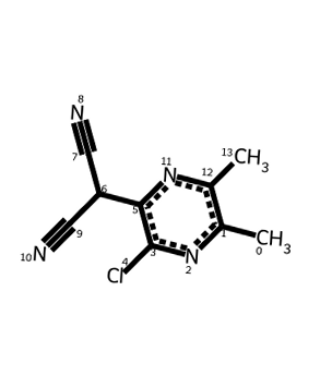 Cc1nc(Cl)c(C(C#N)C#N)nc1C